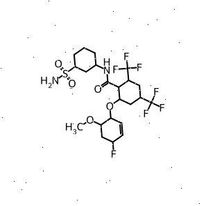 COC1CC(F)C=CC1OC1CC(C(F)(F)F)CC(C(F)(F)F)C1C(=O)NC1CCCC(S(N)(=O)=O)C1